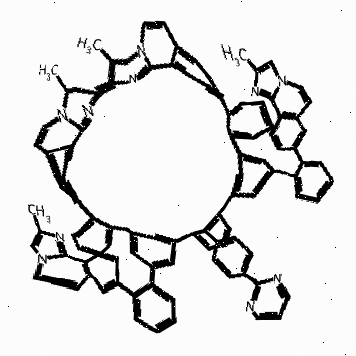 Cc1cn2ccc3cc(-c4ccccc4-c4cc5cc(c4)-c4cccc(c4-c4ccc(-c6ncccn6)cc4)-c4cc(cc(-c6ccccc6-c6ccc7c(ccn8cc(C)nc78)c6)c4)-c4ccccc4-c4ccc6c(c4)C=CN4C6=N/C(=C6\N=C7c8ccc(cc8C=CN7C6C)-c6ccccc6-5)C4C)ccc3c2n1